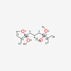 CO[Si](CCC[Si](OC)(OC)C(C)C)(OC)C(C)C